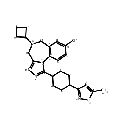 Cc1nc(C2CCC(c3nnc4n3-c3ccc(Cl)cc3CN(C3CCC3)C4)CC2)no1